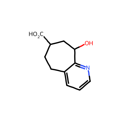 O=C(O)C1CCc2cccnc2C(O)C1